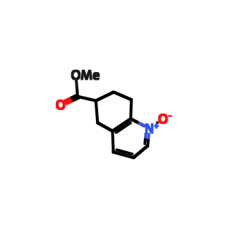 COC(=O)C1CCc2c(ccc[n+]2[O-])C1